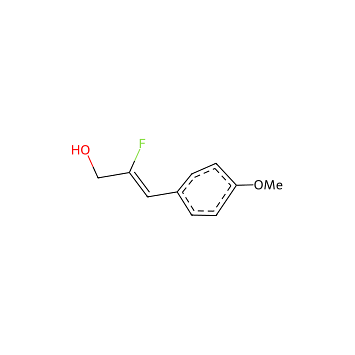 COc1ccc(C=C(F)CO)cc1